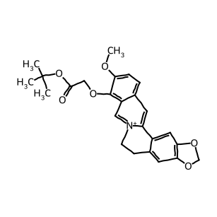 COc1ccc2cc3[n+](cc2c1OCC(=O)OC(C)(C)C)CCc1cc2c(cc1-3)OCO2